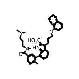 Cc1ccc(C(=O)NCCCN(C)C)cc1-c1cccc2c(CCCOc3cccc4ccccc34)c(C(=O)O)[nH]c12